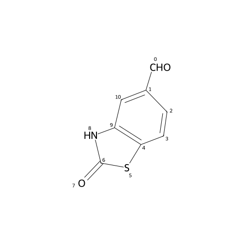 O=Cc1ccc2sc(=O)[nH]c2c1